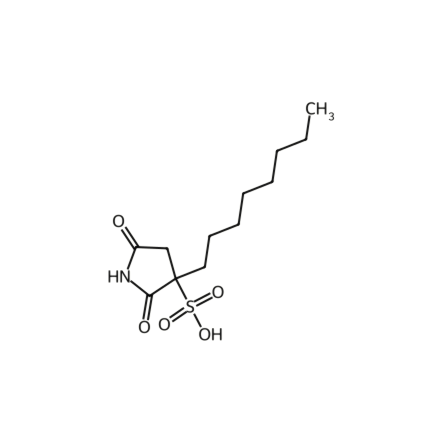 CCCCCCCCC1(S(=O)(=O)O)CC(=O)NC1=O